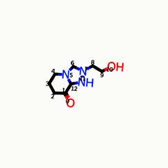 O=C1CCCN2CN(CCO)NC12